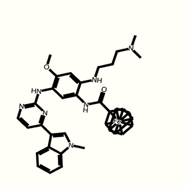 COc1cc(NCCCN(C)C)c(NC(=O)[C]23[CH]4[CH]5[CH]6[CH]2[Fe]56432789[CH]3[CH]2[CH]7[CH]8[CH]39)cc1Nc1nccc(-c2cn(C)c3ccccc23)n1